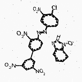 O=[N+]([O-])c1cc(-c2ccc(N=Nc3ccc(Cl)c([N+](=O)[O-])c3)c([N+](=O)[O-])c2)cc([N+](=O)[O-])c1.[O-][n+]1[nH]nc2ccccc21